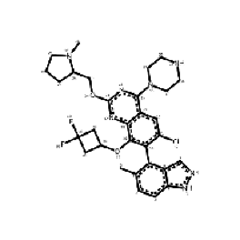 Cc1ccc2[nH]ncc2c1-c1c(Cl)cc2c(N3CCNCC3)nc(OCC3CCCN3C)nc2c1OC1CC(F)(F)C1